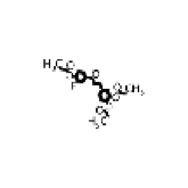 C=CC(=O)Oc1ccc(C(=O)/C=C/c2ccc(OC(=O)C=C)c(OC(=O)C=C)c2)cc1F